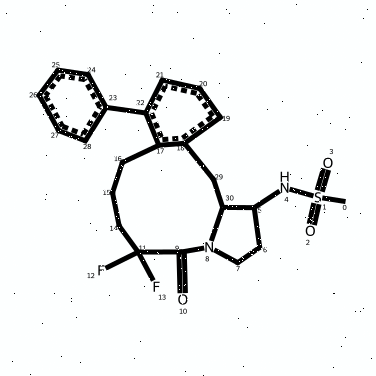 CS(=O)(=O)NC1CCN2C(=O)C(F)(F)CCCc3c(cccc3-c3ccccc3)CC12